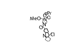 CCCOC(=O)N1CCN(C(=O)c2ccc3c(Cl)c4c(nc3c2)CCCC4)CC1COC